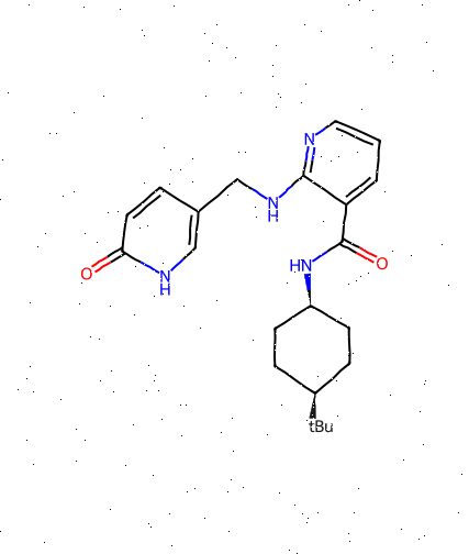 CC(C)(C)[C@H]1CC[C@@H](NC(=O)c2cccnc2NCc2ccc(=O)[nH]c2)CC1